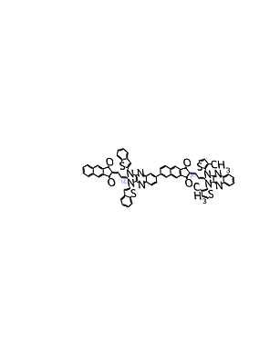 Cc1ccsc1N1C(=C/C=C2/C(=O)c3cc4ccc(-c5ccc6nc7c(nc6c5)N(c5cc6ccccc6s5)/C(=C\C=C5C(=O)c6cc8ccccc8cc6C5=O)N7c5cc6ccccc6s5)cc4cc3C2=O)N(c2sccc2C)c2nc3ccccc3nc21